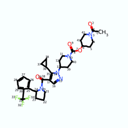 CC(=O)N1CCC(OC(=O)N2CCC(n3ncc(C(=O)N4CCCC4c4ccccc4C(F)(F)F)c3C3CC3)CC2)CC1